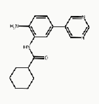 Nc1ccc(-c2cncnc2)cc1NC(=O)C1CCCCC1